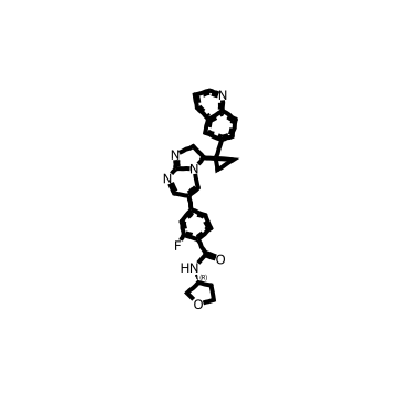 O=C(N[C@@H]1CCOC1)c1ccc(C2=CN3C(=NCC3C3(c4ccc5ncccc5c4)CC3)N=C2)cc1F